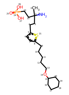 CC(N)(CCc1ccc(CCCCCOC2CCCCC2)s1)CCP(=O)(O)O